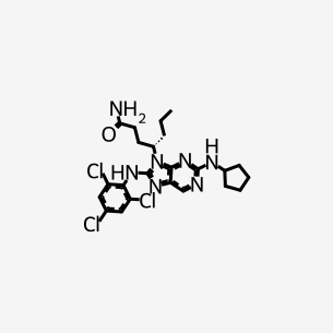 CCC[C@@H](CCC(N)=O)n1c(Nc2c(Cl)cc(Cl)cc2Cl)nc2cnc(NC3CCCC3)nc21